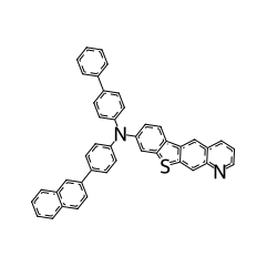 c1ccc(-c2ccc(N(c3ccc(-c4ccc5ccccc5c4)cc3)c3ccc4c(c3)sc3cc5ncccc5cc34)cc2)cc1